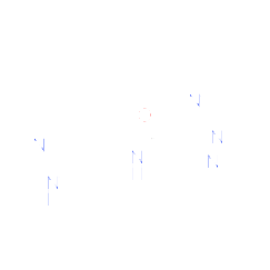 Cc1cc(C)n2ncc(C(=O)Nc3ccc4nc(C)[nH]c4c3)c2n1